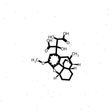 COc1cc(C(O)(C(=O)O)C(O)C(=O)O)c2c3c1O[C@H]1CCC[C@H]4[C@@H](C2)N(C)CC[C@]314